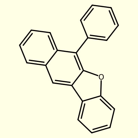 c1ccc(-c2c3ccccc3cc3c2oc2ccccc23)cc1